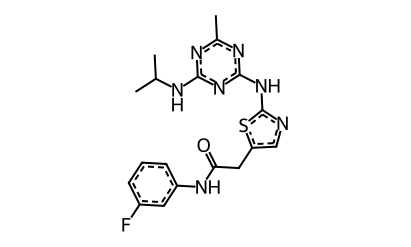 Cc1nc(Nc2ncc(CC(=O)Nc3cccc(F)c3)s2)nc(NC(C)C)n1